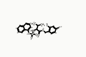 CC(C)C(NP(=O)(Cl)Oc1cccc2ccccc12)C(=O)OCc1ccc(F)cc1F